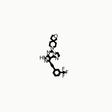 FC(F)(F)c1cccc(C#Cc2n[nH]c3nc(N4CCC5(CCOC5)CC4)n4ccnc4c23)c1